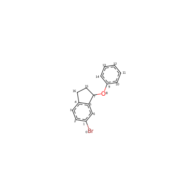 Brc1ccc2c(c1)C(Oc1ccccc1)CC2